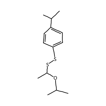 CC(C)OC(C)SSc1ccc(C(C)C)cc1